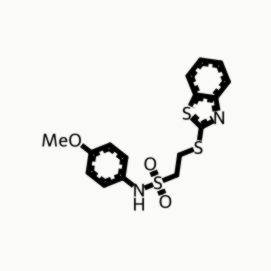 COc1ccc(NS(=O)(=O)CCSc2nc3ccccc3s2)cc1